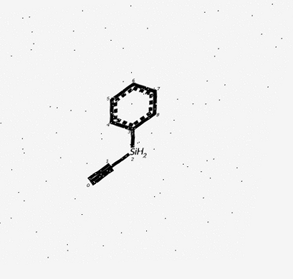 C#C[SiH2]c1ccccc1